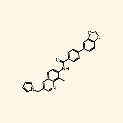 Cc1c(NC(=O)c2ccc(-c3ccc4c(c3)OCO4)cc2)ccc2cc(Cn3cccc3)cnc12